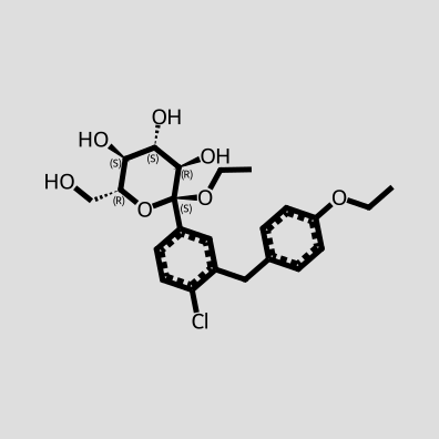 CCOc1ccc(Cc2cc([C@]3(OCC)O[C@H](CO)[C@@H](O)[C@H](O)[C@H]3O)ccc2Cl)cc1